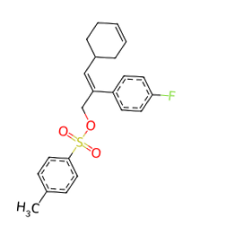 Cc1ccc(S(=O)(=O)OCC(=CC2CC=CCC2)c2ccc(F)cc2)cc1